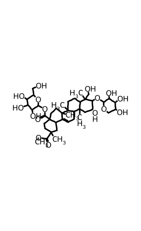 COC(=O)C1(C)CCC2(C(=O)OC3OC(CO)C(O)C(O)C3O)CCC3(C)C(=CCC4C5(C)CC(O)C(OC6OCC(O)C(O)C6O)C(C)(CO)C5CCC43C)C2C1